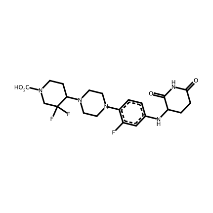 O=C1CCC(Nc2ccc(N3CCN(C4CCN(C(=O)O)CC4(F)F)CC3)c(F)c2)C(=O)N1